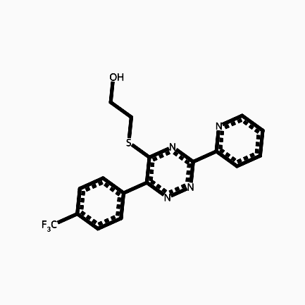 OCCSc1nc(-c2ccccn2)nnc1-c1ccc(C(F)(F)F)cc1